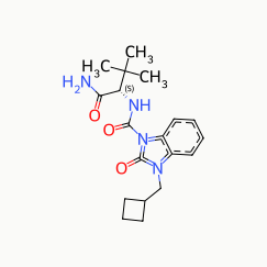 CC(C)(C)[C@H](NC(=O)n1c(=O)n(CC2CCC2)c2ccccc21)C(N)=O